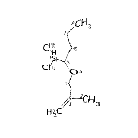 C=C(C)COC(CCC)[SiH](Cl)Cl